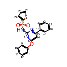 O=S(=O)(Nc1nc(Oc2ccccc2)cc(-c2ccccc2)n1)c1cccs1